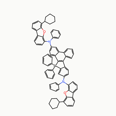 c1ccc(N(c2ccc3c(c2)[Si](c2ccccc2)(c2ccccc2)c2c-3c3ccccc3c3cc(N(c4ccccc4)c4cccc5c4oc4c(C6CCCCC6)cccc45)ccc23)c2cccc3c2oc2c(C4CCCCC4)cccc23)cc1